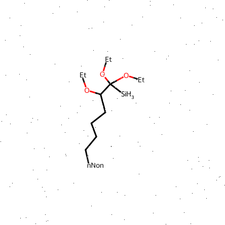 CCCCCCCCCCCCCC(OCC)C([SiH3])(OCC)OCC